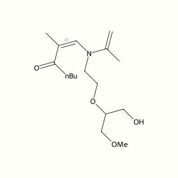 C=C(C)N(/C=C(/C)C(=O)CCCC)CCOC(CO)COC